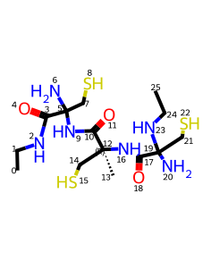 CCNC(=O)C(N)(CS)NC(=O)[C@](C)(CS)NC(=O)C(N)(CS)NCC